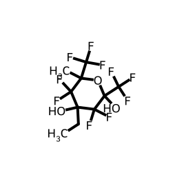 CCC1(O)C(F)(F)C(C)(C(F)(F)F)OC(O)(C(F)(F)F)C1(F)F